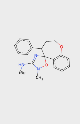 CN1OC2(N=C1NC(C)(C)C)c1ccccc1OCCC2c1ccccc1